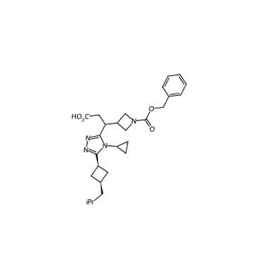 CC(C)C[C@H]1C[C@@H](c2nnc(C(CC(=O)O)C3CN(C(=O)OCc4ccccc4)C3)n2C2CC2)C1